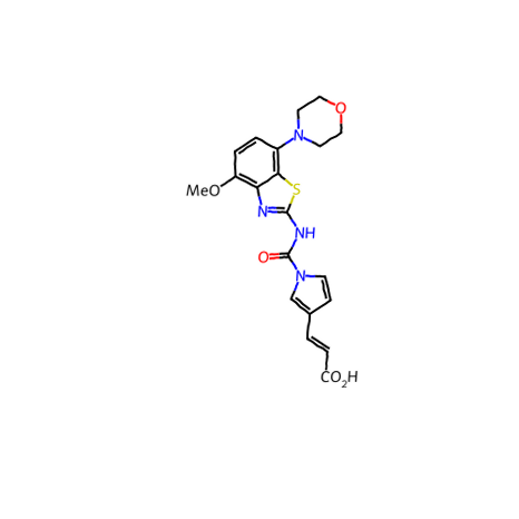 COc1ccc(N2CCOCC2)c2sc(NC(=O)n3ccc(/C=C/C(=O)O)c3)nc12